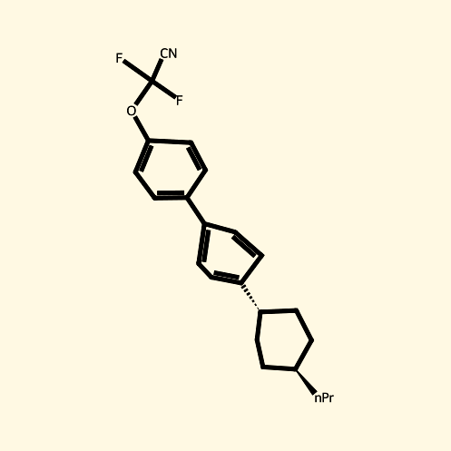 CCC[C@H]1CC[C@H](c2ccc(-c3ccc(OC(F)(F)C#N)cc3)cc2)CC1